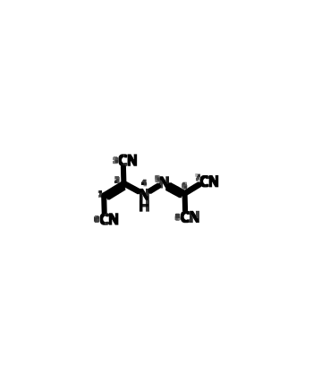 N#CC=C(C#N)NN=C(C#N)C#N